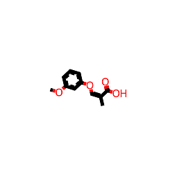 COc1cccc(OC=C(C)C(=O)O)c1